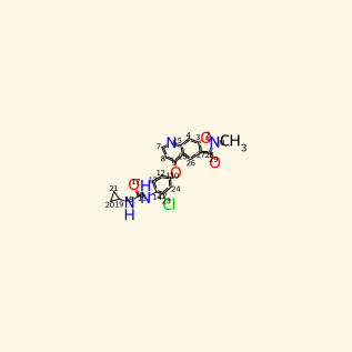 Cn1oc2cc3nccc(Oc4ccc(NC(=O)NC5CC5)c(Cl)c4)c3cc2c1=O